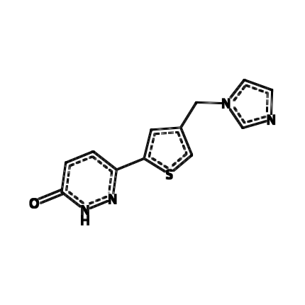 O=c1ccc(-c2cc(Cn3ccnc3)cs2)n[nH]1